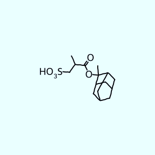 CC(CS(=O)(=O)O)C(=O)OC1(C)C2CC3CC(C2)CC1C3